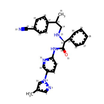 Cc1cnn(-c2ccc(NC(=O)[C@@H](NCC(C)c3ccc(C#N)cc3)c3ccccc3)nc2)c1